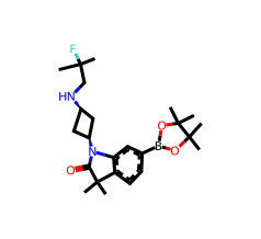 CC(C)(F)CN[C@H]1C[C@@H](N2C(=O)C(C)(C)c3ccc(B4OC(C)(C)C(C)(C)O4)cc32)C1